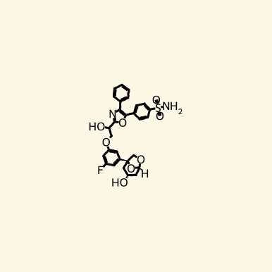 NS(=O)(=O)c1ccc(-c2oc(C(O)COc3cc(F)cc([C@]45CO[C@@H](C[C@@H](O)C4)O5)c3)nc2-c2ccccc2)cc1